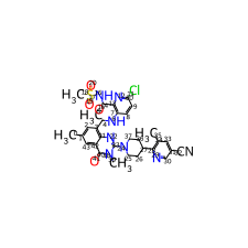 Cc1cc([C@@H](C)Nc2ccc(Cl)nc2C(=O)NS(C)(=O)=O)c2nc(N3CCC(c4ncc(C#N)cc4C)CC3)n(C)c(=O)c2c1